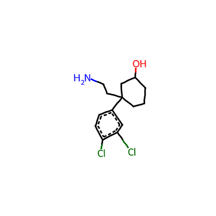 NCCC1(c2ccc(Cl)c(Cl)c2)CCCC(O)C1